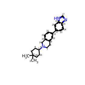 CC1(C)CCC(N2CCc3cc(-c4ccc5nc[nH]c5c4)ccc3C2)CC1